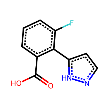 O=C(O)c1cccc(F)c1-c1ccn[nH]1